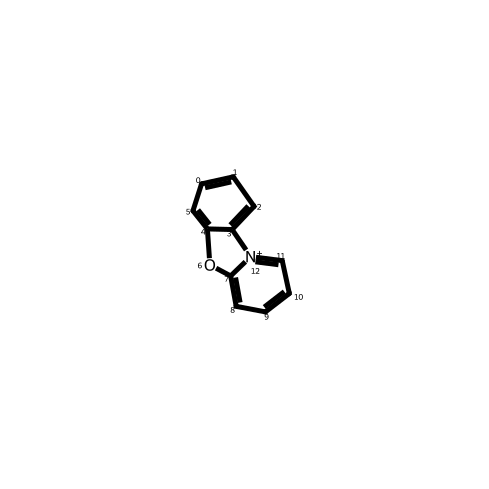 c1ccc2c(c1)oc1cccc[n+]12